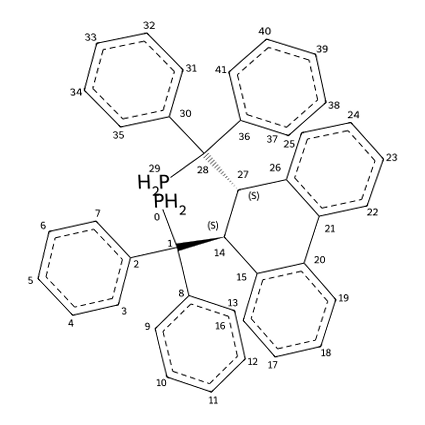 PC(c1ccccc1)(c1ccccc1)[C@@H]1c2ccccc2-c2ccccc2[C@H]1C(P)(c1ccccc1)c1ccccc1